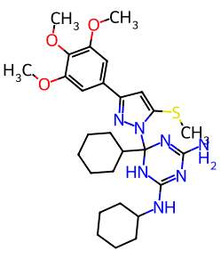 COc1cc(-c2cc(SC)n(C3(C4CCCCC4)N=C(N)N=C(NC4CCCCC4)N3)n2)cc(OC)c1OC